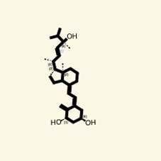 C=C1C(=CC=C2CCC[C@@]3(C)C2CC[C@@H]3[C@H](C)/C=C/[C@](C)(O)C(C)C)C[C@@H](O)C[C@@H]1O